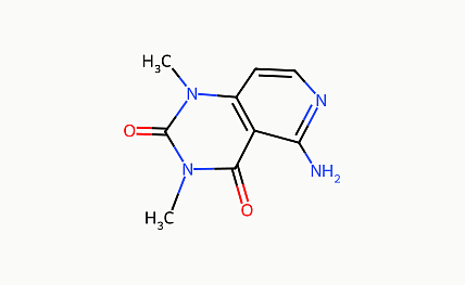 Cn1c(=O)c2c(N)nccc2n(C)c1=O